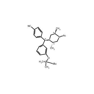 CC(=O)N1C[C@H](C)N([C@H](c2ccc(C#N)cc2)c2cccc(O[Si](C)(C)C(C)(C)C)c2)C[C@H]1C